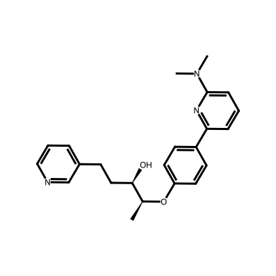 C[C@H](Oc1ccc(-c2cccc(N(C)C)n2)cc1)[C@H](O)CCc1cccnc1